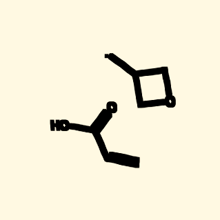 C=CC(=O)O.[CH2]C1COC1